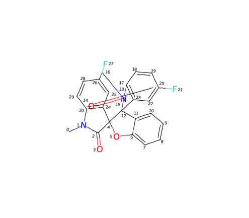 CN1C(=O)C2(Oc3ccccc3C23C(=O)N(C)c2ccc(F)cc23)c2cc(F)ccc21